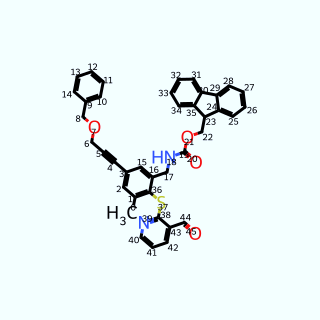 Cc1cc(C#CCOCc2ccccc2)cc(CNC(=O)OCC2c3ccccc3-c3ccccc32)c1Sc1ncccc1C=O